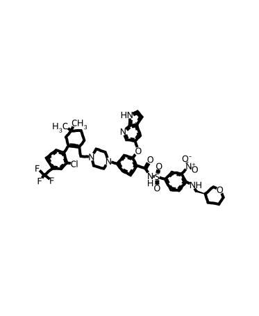 CC1(C)CCC(CN2CCN(c3ccc(C(=O)NS(=O)(=O)c4ccc(NC[C@@H]5CCCOC5)c([N+](=O)[O-])c4)c(Oc4cnc5[nH]ccc5c4)c3)CC2)=C(c2ccc(C(F)(F)F)cc2Cl)C1